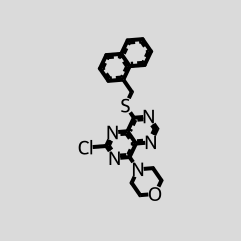 Clc1nc(N2CCOCC2)c2ncnc(SCc3cccc4ccccc34)c2n1